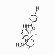 N#Cc1ccc(C(=O)Nc2ccc(F)c(C3(C(F)F)CCCOC(N)=N3)c2)nc1